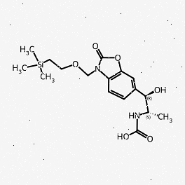 C[C@H](NC(=O)O)[C@H](O)c1ccc2c(c1)oc(=O)n2COCC[Si](C)(C)C